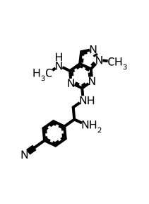 CNc1nc(NCC(N)c2ccc(C#N)cc2)nc2c1cnn2C